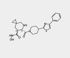 O=C(NO)[C@H]1CC2(CC2)CN[C@@H]1C(=O)N1CCC(c2nc(-c3ccccc3)cs2)CC1